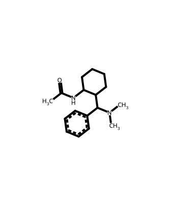 CC(=O)NC1CCCCC1C(c1ccccc1)N(C)C